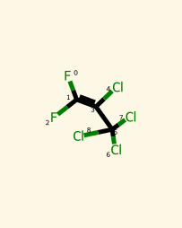 FC(F)=C(Cl)C(Cl)(Cl)Cl